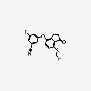 N#Cc1cc(F)cc(Oc2ccc(SCF)c3c2CCC3=O)c1